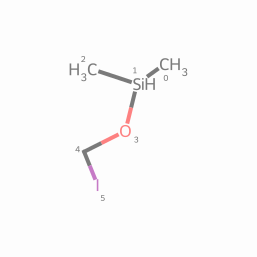 C[SiH](C)OCI